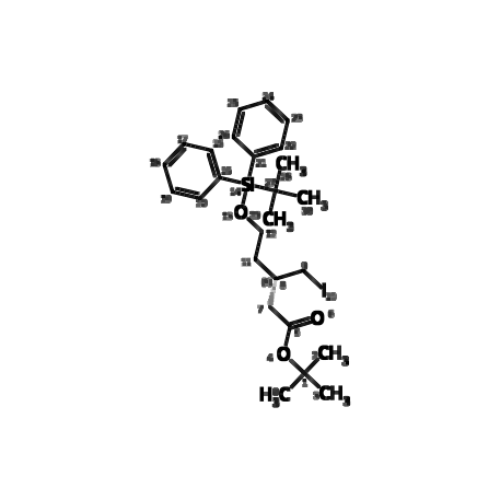 CC(C)(C)OC(=O)C[C@@H](CI)CCO[Si](c1ccccc1)(c1ccccc1)C(C)(C)C